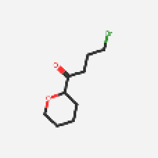 O=C(CC[CH]Br)C1CCCCO1